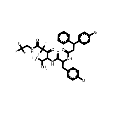 CC(C)C(NC(=O)C(Cc1ccc(Cl)cc1)NC(=O)CC(c1ccccc1)c1ccc(Br)cc1)C(=O)C(F)(F)C(=O)NCC(F)(F)F